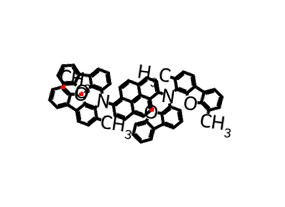 Cc1ccc2c(oc3c(C)cccc32)c1N(c1ccc2ccc3c(N(c4cccc5c4oc4ccccc45)c4c(C)ccc5c4oc4c(C)cccc45)ccc4ccc1c2c43)c1cccc2c1oc1ccccc12